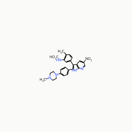 Cc1ccc(-c2c(-c3ccc(N4CCN(C)CC4)cc3)[nH]c3ncc([N+](=O)[O-])cc23)cc1NC(=O)O